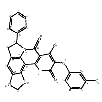 O=c1oc2c(c(O)c1Sc1cccc(Cl)c1)c(=O)n1c3c(cc4c(c23)OCO4)CC1c1ccccc1